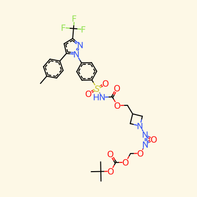 Cc1ccc(-c2cc(C(F)(F)F)nn2-c2ccc(S(=O)(=O)NC(=O)OCC3CN(n4on4OCOC(=O)OC(C)(C)C)C3)cc2)cc1